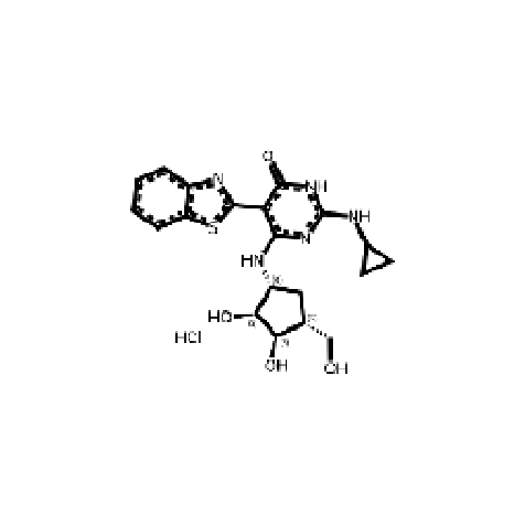 Cl.O=c1[nH]c(NC2CC2)nc(N[C@@H]2C[C@H](CO)[C@@H](O)[C@H]2O)c1-c1nc2ccccc2s1